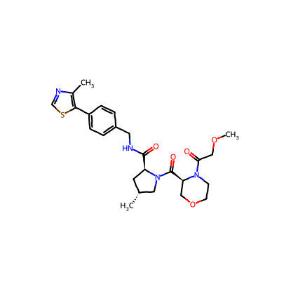 COCC(=O)N1CCOC[C@H]1C(=O)N1C[C@H](C)C[C@H]1C(=O)NCc1ccc(-c2scnc2C)cc1